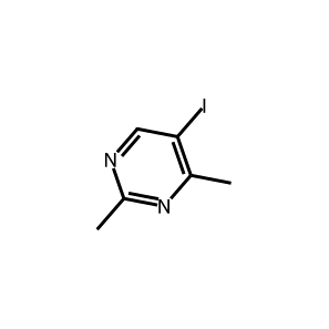 Cc1ncc(I)c(C)n1